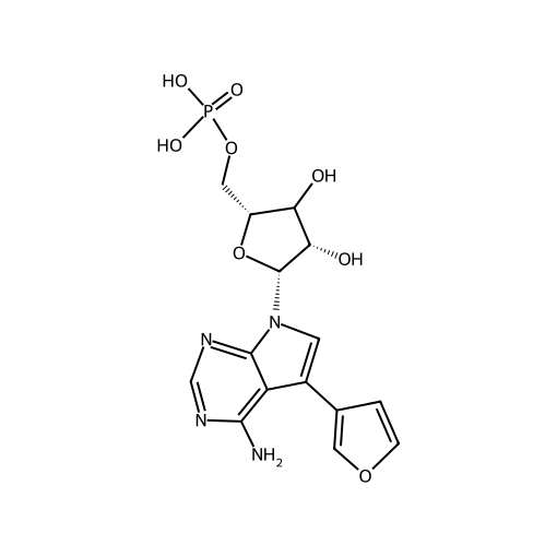 Nc1ncnc2c1c(-c1ccoc1)cn2[C@@H]1O[C@H](COP(=O)(O)O)C(O)[C@@H]1O